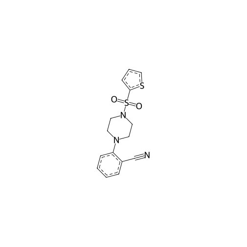 N#Cc1ccccc1N1CCN(S(=O)(=O)c2cccs2)CC1